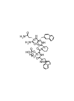 CC(=O)N[C@@H](Cc1csc2ccccc12)C(=O)N[C@H](C(=O)N1CCCC[C@@H]1C(=O)N[C@@H](Cc1ccc2ccccc2c1)C(=O)N[C@@H](CCC(N)=O)C(N)=O)[C@@H](C)OP(=O)(O)O